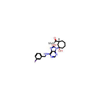 CNC(=O)[C@]1(C)CCCC[C@](O)(n2cnc3c(NCc4cccc(I)c4)ncnc32)[C@@H]1O